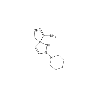 NC(=O)C1(CO)C=CN(N2CCCCC2)N1